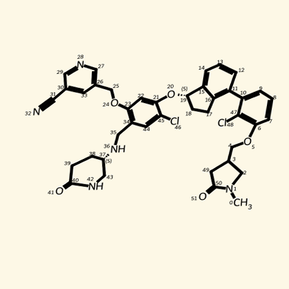 CN1CC(COc2cccc(-c3cccc4c3CC[C@@H]4Oc3cc(OCc4cncc(C#N)c4)c(CN[C@H]4CCC(=O)NC4)cc3Cl)c2Cl)CC1=O